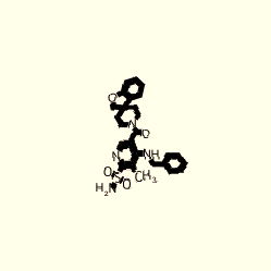 Cc1c(S(N)(=O)=O)ncc(C(=O)N2CCC3(CC2)COc2ccccc23)c1NCc1ccccc1